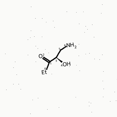 CCC(=O)[C@H](O)CN